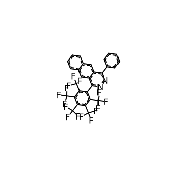 FC(F)(F)c1c(-c2nnc(-c3ccccc3)c3cc4ccccc4cc23)c(C(F)(F)F)c(C(F)(F)F)c(C(F)(F)F)c1C(F)(F)F